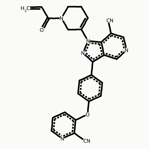 C=CC(=O)N1CCC=C(n2nc(-c3ccc(Oc4cccnc4C#N)cc3)c3cncc(C#N)c32)C1